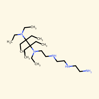 CCN(CC)C(CC)(CC)C(CC)(CC)N(CC)CCNCCNCCN